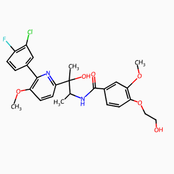 COc1cc(C(=O)NC(C)C(C)(O)c2ccc(OC)c(-c3ccc(F)c(Cl)c3)n2)ccc1OCCO